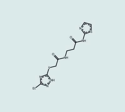 CCc1n[nH]c(SCC(=O)NCCC(=O)Nc2nccs2)n1